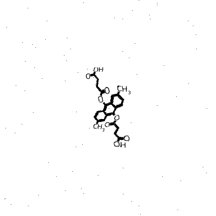 Cc1ccc2c(OC(=O)CCC(=O)O)c3cc(C)ccc3c(OC(=O)CCC(=O)O)c2c1